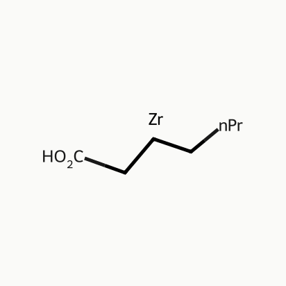 CCCCCCC(=O)O.[Zr]